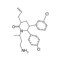 C=CCC1CC(c2cccc(Cl)c2)C(c2ccc(Cl)cc2)N(C(C)CCN)C1=O